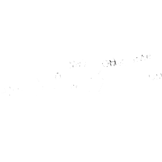 COc1cc(/C=C\c2cc(O)c(OC)c(N/C=C\C(=O)c3ccc([N+](=O)[O-])cc3)c2)cc(OC)c1OC